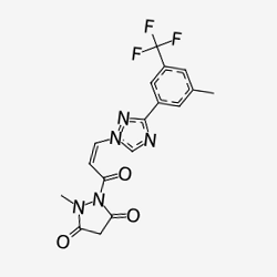 Cc1cc(-c2ncn(/C=C\C(=O)N3C(=O)CC(=O)N3C)n2)cc(C(F)(F)F)c1